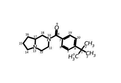 CC(C)(C)c1ccc(C(=O)N2CCN3CCCC3C2)cc1